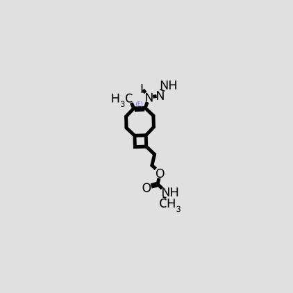 CNC(=O)OCCC1CC2CC/C(C)=C(/N(I)N=N)CCC12